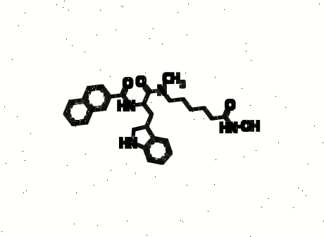 CN(CCCCCC(=O)NO)C(=O)C(CC1CNc2ccccc21)NC(=O)c1ccc2ccccc2c1